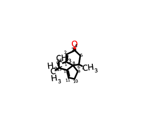 CC1=CC(=O)CC(C)C12CCC=C2C(C)C